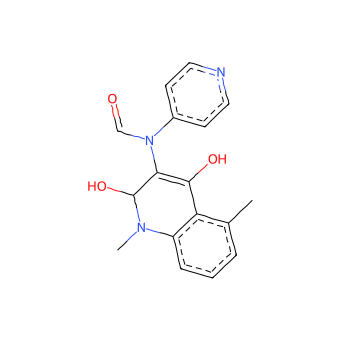 Cc1cccc2c1C(O)=C(N(C=O)c1ccncc1)C(O)N2C